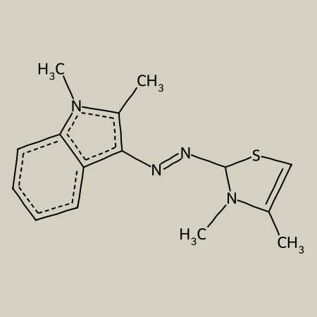 CC1=CSC(N=Nc2c(C)n(C)c3ccccc23)N1C